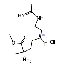 COC(=O)C(C)(N)CC/C(F)=C\CNC(C)=N.Cl